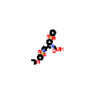 CCC(C)Oc1ccc(S(=O)(=O)N2CCC(c3cn(CC(=O)O)c4cc(S(=O)(=O)c5ccccc5)ccc34)C2)cc1